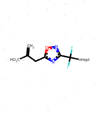 C=C(Cc1nc(C(F)(F)CCCCCCC)no1)C(=O)O